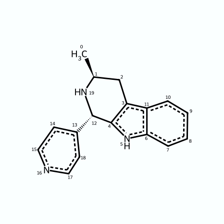 C[C@H]1Cc2c([nH]c3ccccc23)[C@H](c2ccncc2)N1